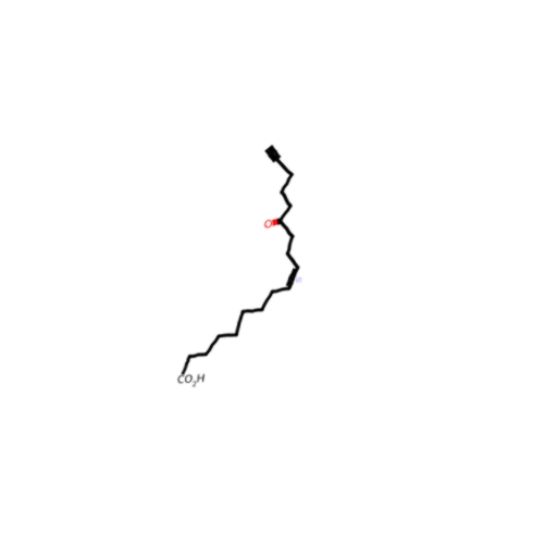 C#CCCCC(=O)CC/C=C\CCCCCCCC(=O)O